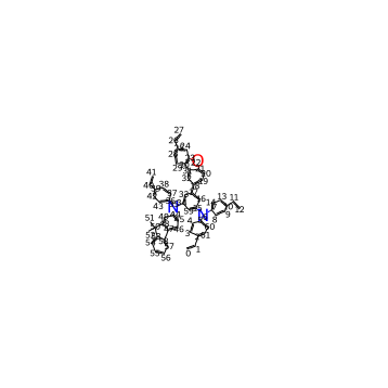 C=Cc1ccc(N(c2ccc(C=C)cc2)c2cc(-c3ccc4oc5cc(C=C)ccc5c4c3)cc(N(c3ccc(C=C)cc3)c3ccc4c(c3)C(C)(C)c3ccccc3-4)c2)cc1